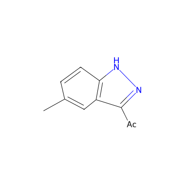 CC(=O)c1n[nH]c2ccc(C)cc12